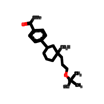 COC(=O)c1ccc(C2CCCC(CCCO[Si](C)(C)C(C)(C)C)(C(=O)O)C2)cc1